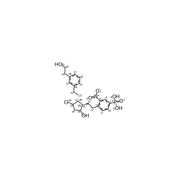 O=[N+]([O-])c1cc(P(=O)(O)O)ccc1CC[C@H]1C(O)CC(Cl)[C@@H]1CCc1cccc(CCO)c1